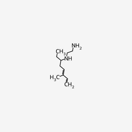 C=C/C(C)=C/CC(CC)NCCN